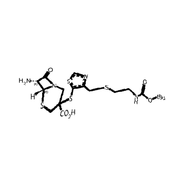 CC(C)(C)OC(=O)NCCSCc1ncsc1SC1(C(=O)O)CS[C@@H]2[C@H](N)C(=O)N2C1